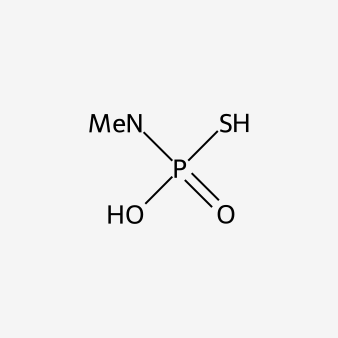 CNP(=O)(O)S